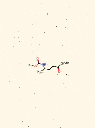 COC(=O)CCC(C)NC(=O)OC(C)(C)C